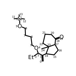 C=C(C(CC)OCCCCO[Si](C)(C)C)C1CCC2C(=O)CCCC12C